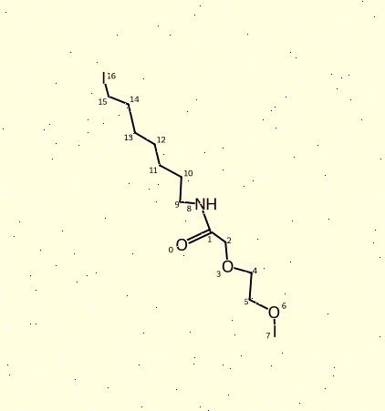 O=C(COCCOI)NCCCCCCCI